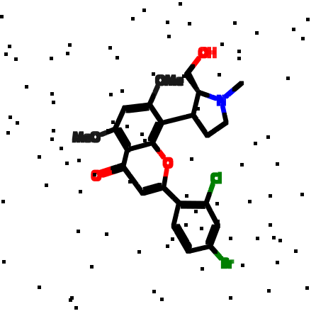 COc1cc(OC)c2c(=O)cc(-c3ccc(Br)cc3Cl)oc2c1C1CCN(C)[C@@H]1CO